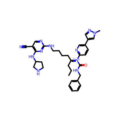 CCC/C(CCCCNc1ncc(C#N)c(NC2CCNC2)n1)=[N+](\C(=O)NCc1ccccc1)c1ccc(-c2cnn(C)c2)cn1